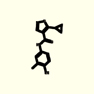 Cc1cc(NC(=O)c2cnoc2C2CC2)ccc1C#N